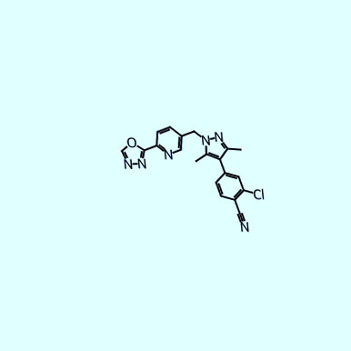 Cc1nn(Cc2ccc(-c3nnco3)nc2)c(C)c1-c1ccc(C#N)c(Cl)c1